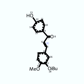 COc1ccc(/C=C/C(=O)c2ccc(O)cc2)cc1OCC(C)C